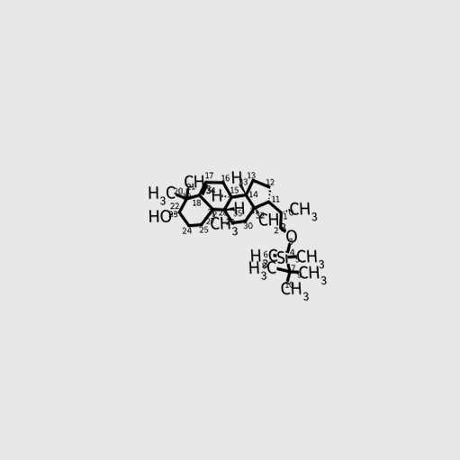 C[C@H](CO[Si](C)(C)C(C)(C)C)[C@H]1CC[C@H]2[C@@H]3CC=C4C(C)(C)[C@@H](O)CC[C@]4(C)[C@H]3CC[C@]12C